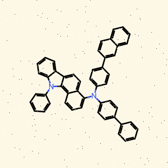 c1ccc(-c2ccc(N(c3ccc(-c4ccc5ccccc5c4)cc3)c3cccc4c3ccc3c5ccccc5n(-c5ccccc5)c43)cc2)cc1